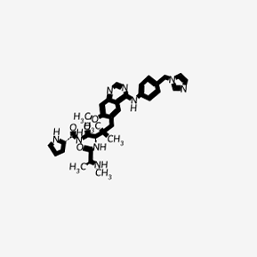 CN[C@@H](C)C(=O)N[C@H](C(=O)NC(=O)[C@@H]1CCCN1)C(C)(C)Cc1cc2c(Nc3ccc(Cn4ccnc4)cc3)ncnc2cc1OC